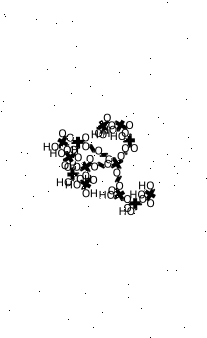 CC(CO)(CO)C(=O)OCC(C)(CO)C(=O)OCC(C)(CO)C(=O)OCCOCC(COCCOCCOC(=O)C(C)(COC(=O)C(C)(CO)CO)COC(=O)C(C)(CO)CO)(COCCOC(=O)C(C)(COC(=O)C(C)(CO)CO)COC(=O)C(C)(CO)CO)COCOC(=O)C(C)(CO)COC(=O)C(C)(CO)COC(=O)C(C)(CO)CO